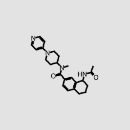 CC(=O)NC1CCCc2ccc(C(=O)N(C)C3CCN(c4ccncc4)CC3)cc21